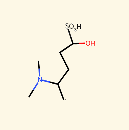 [CH2]C(CCC(O)S(=O)(=O)O)N(C)C